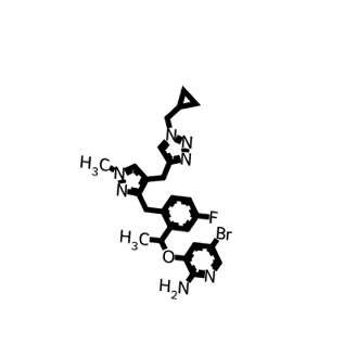 CC(Oc1cc(Br)cnc1N)c1cc(F)ccc1Cc1nn(C)cc1Cc1cn(CC2CC2)nn1